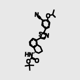 CC(C)Oc1ccc(-c2ncc(-c3cccc4c3CCC[C@@H]4NC(=O)OC(C)(C)C)s2)cc1C#N